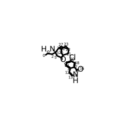 CCCC1(N)CCC2(Oc3cc4cc[nH]c(=O)c4cc3Cl)CC3CC(C2)C1C3